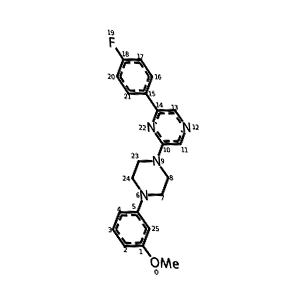 COc1cccc(N2CCN(c3cncc(-c4ccc(F)cc4)n3)CC2)c1